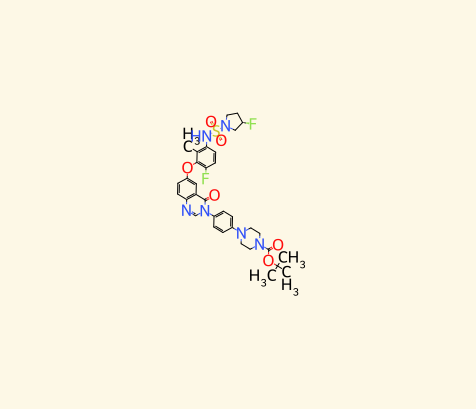 Cc1c(NS(=O)(=O)N2CC[C@@H](F)C2)ccc(F)c1Oc1ccc2ncn(-c3ccc(N4CCN(C(=O)OC(C)(C)C)CC4)cc3)c(=O)c2c1